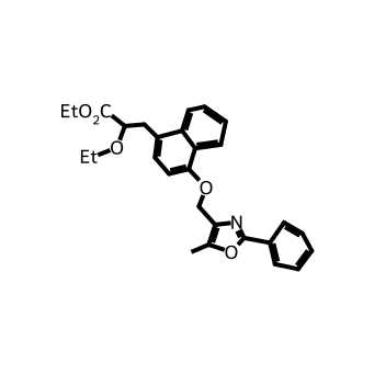 CCOC(=O)C(Cc1ccc(OCc2nc(-c3ccccc3)oc2C)c2ccccc12)OCC